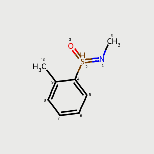 C/N=[SH](=O)/c1ccccc1C